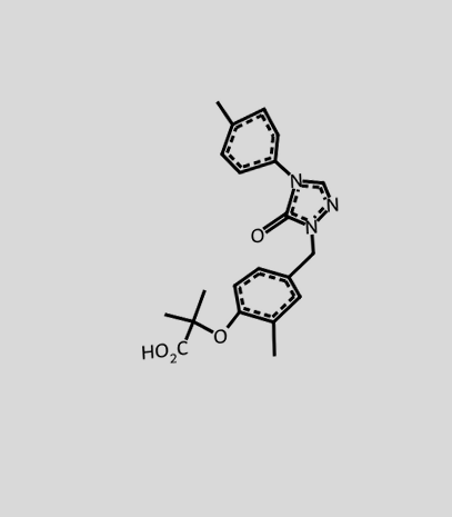 Cc1ccc(-n2cnn(Cc3ccc(OC(C)(C)C(=O)O)c(C)c3)c2=O)cc1